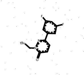 CC(C)(C)Cn1nc(-c2cc(F)cc(F)c2)ccc1=O